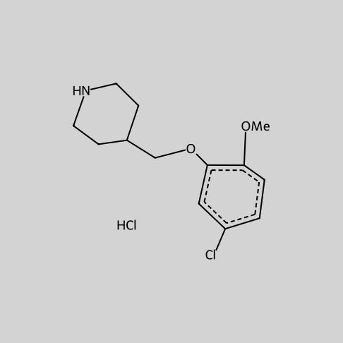 COc1ccc(Cl)cc1OCC1CCNCC1.Cl